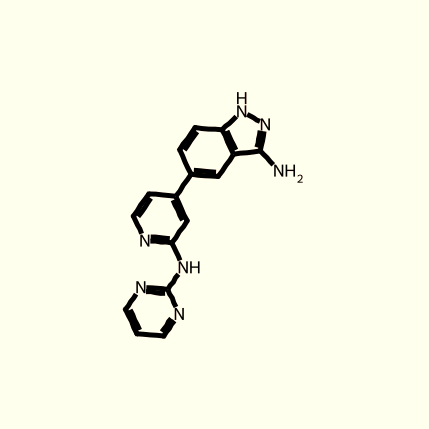 Nc1n[nH]c2ccc(-c3ccnc(Nc4ncccn4)c3)cc12